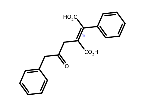 O=C(C/C(C(=O)O)=C(\C(=O)O)c1ccccc1)Cc1ccccc1